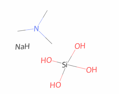 CN(C)C.O[Si](O)(O)O.[NaH]